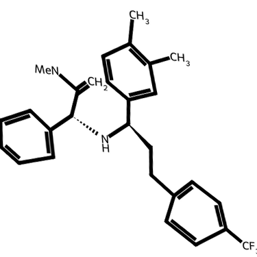 C=C(NC)[C@H](N[C@H](CCc1ccc(C(F)(F)F)cc1)c1ccc(C)c(C)c1)c1ccccc1